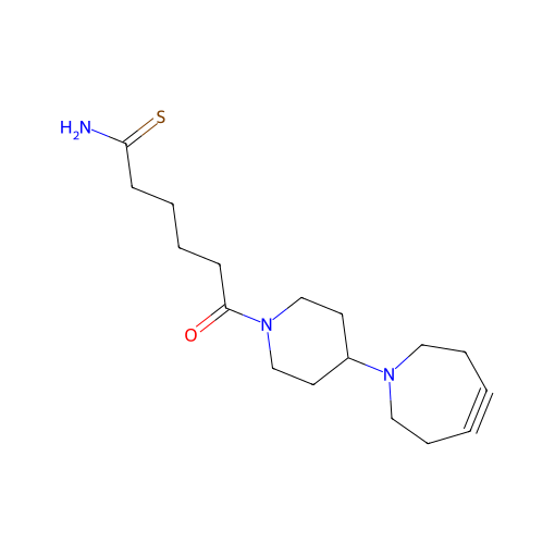 NC(=S)CCCCC(=O)N1CCC(N2CCC#CCC2)CC1